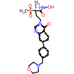 C[C@@](CCn1cnc2cc(-c3ccc(CN4CCOCC4)cc3)ccc2c1=O)(C(=O)NO)S(C)(=O)=O